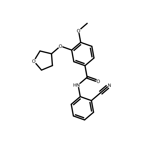 COc1ccc(C(=O)Nc2ccccc2C#N)cc1OC1CCOC1